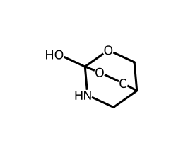 OC12NCC(CO1)CO2